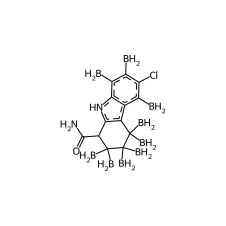 Bc1c(Cl)c(B)c2c3c([nH]c2c1B)C(C(N)=O)C(B)(B)C(B)(B)C3(B)B